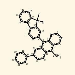 Bc1c2ccccc2c(-c2ccc3c(c2)C(C)(C)c2ccccc2-3)c2cc(-c3ccccc3)ccc12